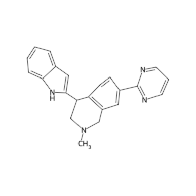 CN1Cc2cc(-c3ncccn3)ccc2C(c2cc3ccccc3[nH]2)C1